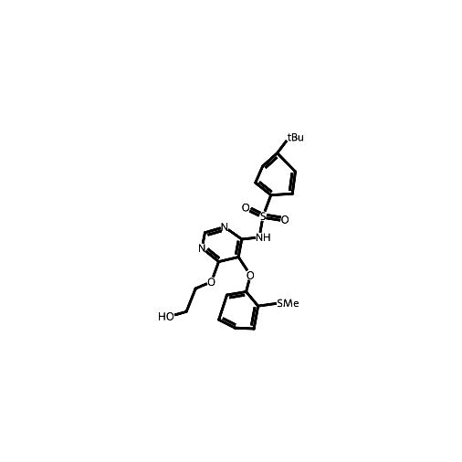 CSc1ccccc1Oc1c(NS(=O)(=O)c2ccc(C(C)(C)C)cc2)ncnc1OCCO